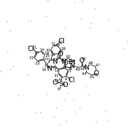 CCOc1cc(Cl)c(S(C)(=O)=O)cc1C1=N[C@@](C)(c2ccc(Cl)cc2)[C@@](C)(c2ccc(Cl)cc2)N1C(=O)N1CCN(CC(=O)N2CCOCC2)CC1